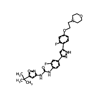 CC(C)(C)c1cc(NC(=O)Nc2ccc(-c3cc(-c4ccc(OCCN5CCOCC5)cc4F)[nH]n3)cc2F)no1